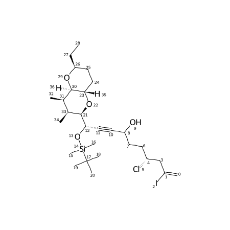 C=C(I)C[C@H](Cl)CCC(O)C#C[C@H](O[Si](C)(C)C(C)(C)C)[C@@H]1O[C@H]2CC[C@H](CC)O[C@@H]2[C@H](C)[C@@H]1C